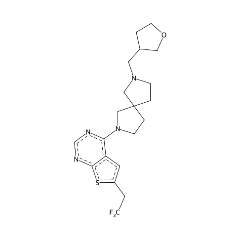 FC(F)(F)Cc1cc2c(N3CCC4(CCN(CC5CCOC5)C4)C3)ncnc2s1